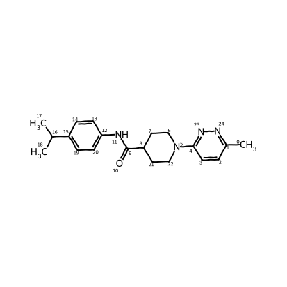 Cc1ccc(N2CCC(C(=O)Nc3ccc(C(C)C)cc3)CC2)nn1